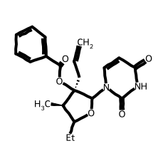 C=CC[C@]1(OC(=O)c2ccccc2)C(n2ccc(=O)[nH]c2=O)OC(CC)[C@H]1C